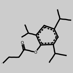 [CH2]CCC(=O)Oc1c(C(C)C)cc(C(C)C)cc1C(C)C